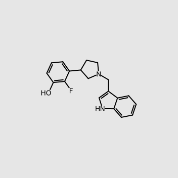 Oc1cccc(C2CCN(Cc3c[nH]c4ccccc34)C2)c1F